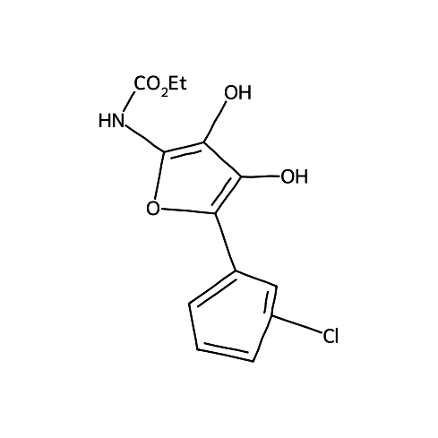 CCOC(=O)Nc1oc(-c2cccc(Cl)c2)c(O)c1O